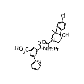 CC(C)[C@@H](NC(=O)c1cc(C(=O)O)cc(-c2ccccn2)c1)C(=O)N1CC[C@](O)(c2ccc(Cl)cc2)C(C)(C)C1